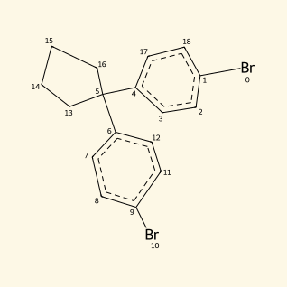 Brc1ccc(C2(c3ccc(Br)cc3)CCCC2)cc1